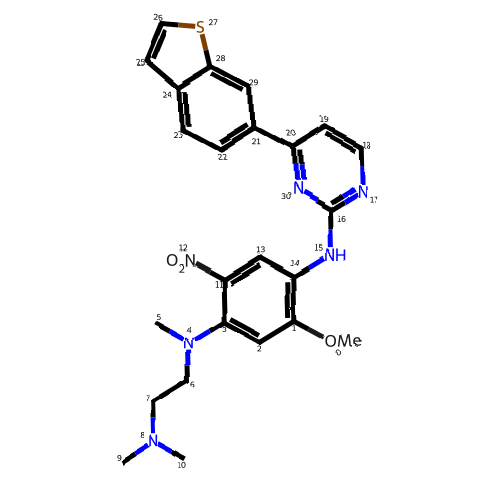 COc1cc(N(C)CCN(C)C)c([N+](=O)[O-])cc1Nc1nccc(-c2ccc3ccsc3c2)n1